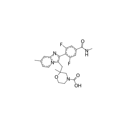 CNC(=O)c1cc(F)c(-c2nc3cc(C)ccn3c2CC2(C)CN(C(=O)O)CCO2)c(F)c1